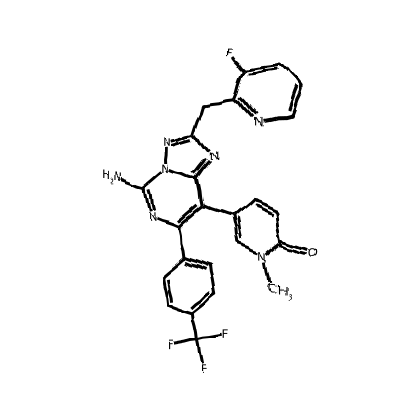 Cn1cc(-c2c(-c3ccc(C(F)(F)F)cc3)nc(N)n3nc(Cc4ncccc4F)nc23)ccc1=O